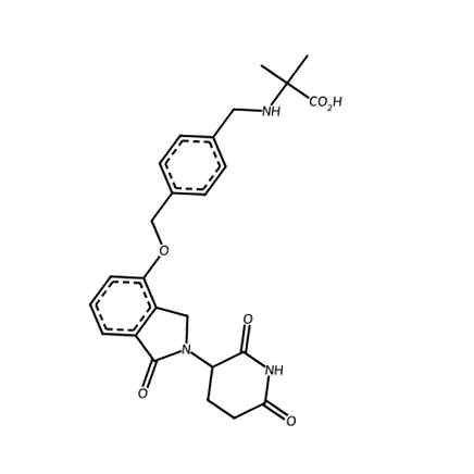 CC(C)(NCc1ccc(COc2cccc3c2CN(C2CCC(=O)NC2=O)C3=O)cc1)C(=O)O